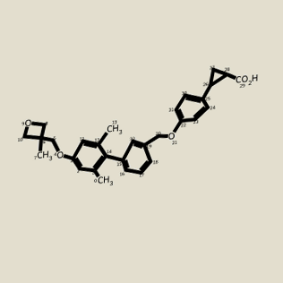 Cc1cc(OCC2(C)COC2)cc(C)c1-c1cccc(COc2ccc(C3CC3C(=O)O)cc2)c1